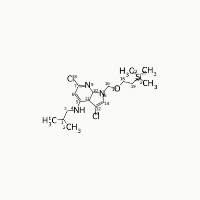 CC(C)CNC1=CC(Cl)=NC2C1C(Cl)=CN2COCC[Si](C)(C)C